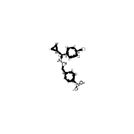 O=[N+]([O-])c1ccc(CON=C(c2ccc(Cl)cc2)C2CC2)cc1